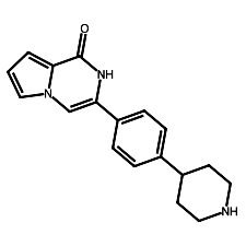 O=c1[nH]c(-c2ccc(C3CCNCC3)cc2)cn2cccc12